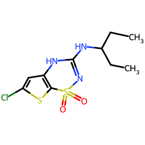 CCC(CC)NC1=NS(=O)(=O)c2sc(Cl)cc2N1